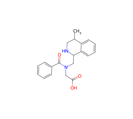 CC1CNC(CN(CC(=O)O)C(=O)c2ccccc2)c2ccccc21